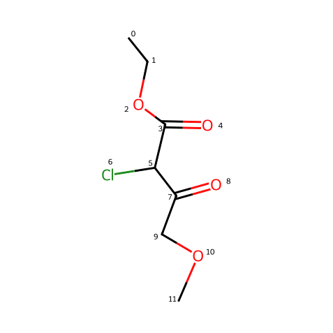 CCOC(=O)C(Cl)C(=O)COC